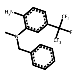 CN(Cc1ccccc1)c1cc(C(F)(C(F)(F)F)C(F)(F)F)ccc1N